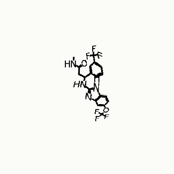 CNC(=O)CC(Nc1nc2cc(OC(F)(F)F)ccc2[nH]1)c1cccc(C(F)(F)F)c1